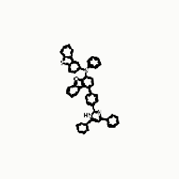 C1=C(c2ccccc2)NC(c2ccc(-c3ccc(N(c4ccccc4)c4ccc5sc6ccccc6c5c4)c4oc5ccccc5c34)cc2)N=C1c1ccccc1